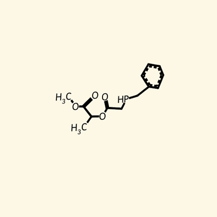 COC(=O)C(C)OC(=O)CPCc1ccccc1